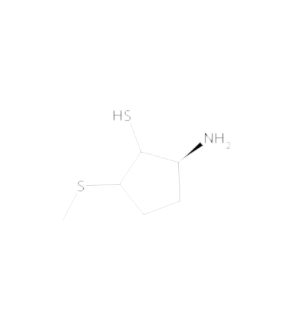 CSC1CC[C@H](N)C1S